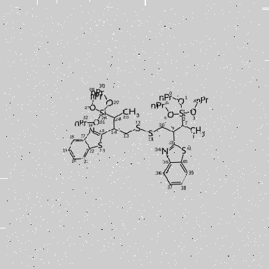 CCCO[Si](OCCC)(OCCC)C(C)C(CSSCC(c1nc2ccccc2s1)C(C)[Si](OCCC)(OCCC)OCCC)c1nc2ccccc2s1